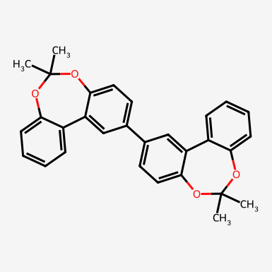 CC1(C)Oc2ccccc2-c2cc(-c3ccc4c(c3)-c3ccccc3OC(C)(C)O4)ccc2O1